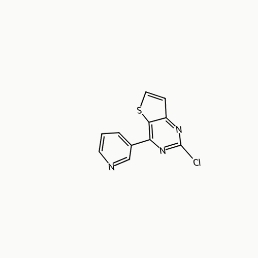 Clc1nc(-c2cccnc2)c2sccc2n1